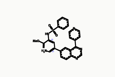 C=C(OC)/C(=C\C(=C/N)c1ccc2ncnc(-c3ccncc3)c2c1)NS(=O)(=O)c1ccccc1